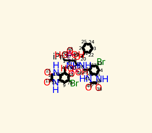 CC(C)CC(NCc1cc(Br)cc2[nH]c(=O)c(=O)[nH]c12)(C(OCc1ccccc1)C(NCc1cc(Br)cc2[nH]c(=O)c(=O)[nH]c12)P(=O)(O)O)P(=O)(O)O